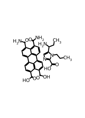 CCCn1c(C(N)CC)cnc1C(=O)O.NC(=O)c1ccc2c3ccc(C(=O)O)c4c(C(=O)O)ccc(c5ccc(C(N)=O)c1c25)c43